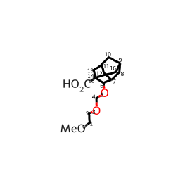 COCCOCOC1C2CC3CC(C2)CC1(C(=O)O)C3